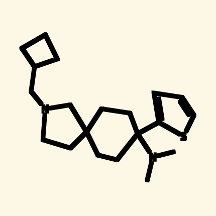 CN(C)C1(c2cccs2)CCC2(CCN(CC3CCC3)C2)CC1